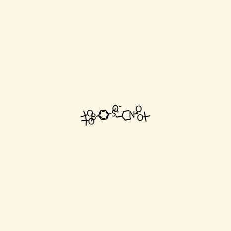 CC(C)(C)OC(=O)N1CCC(C[S+]([O-])c2ccc(B3OC(C)(C)C(C)(C)O3)cc2)CC1